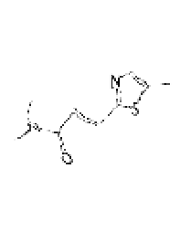 Cc1cnc(/C=C/C(=O)N(C)C)s1